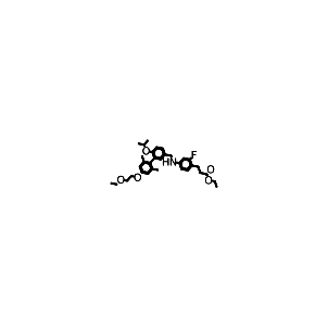 CCOCCOc1cc(C)c(-c2cc(CNc3ccc(CCC(=O)OCC)c(F)c3)ccc2OC(C)C)c(C)c1